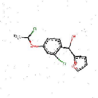 O=C(O)C(Cl)Oc1ccc(C(O)c2ccco2)c(Cl)c1